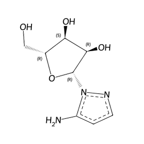 Nc1ccnn1[C@@H]1O[C@H](CO)[C@@H](O)[C@H]1O